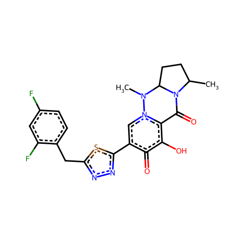 CC1CCC2N1C(=O)c1c(O)c(=O)c(-c3nnc(Cc4ccc(F)cc4F)s3)cn1N2C